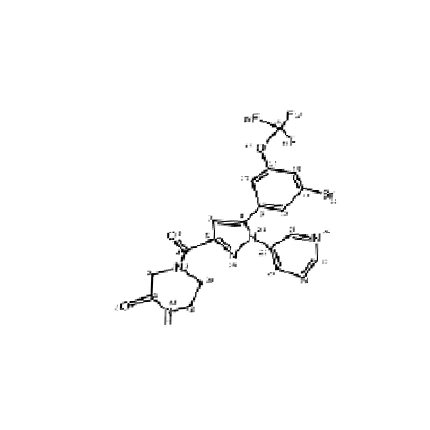 O=C1CN(C(=O)c2cc(-c3cc(Br)cc(OC(F)(F)F)c3)n(-c3cccnc3)n2)CCN1